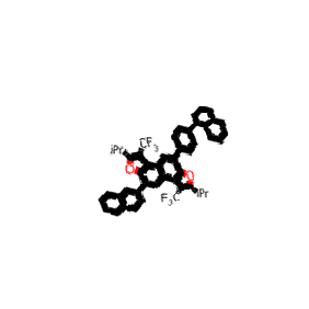 CC(C)c1oc2c(-c3ccc(-c4cccc5ccccc45)cc3)cc3c(cc(-c4ccc5ccccc5c4)c4oc(C(C)C)c(C(F)(F)F)c43)c2c1C(F)(F)F